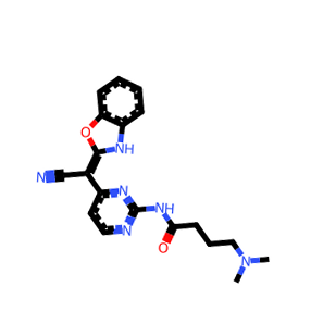 CN(C)CCCC(=O)Nc1nccc(/C(C#N)=C2\Nc3ccccc3O2)n1